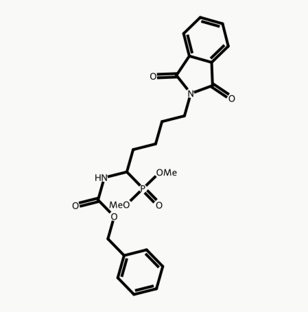 COP(=O)(OC)C(CCCCN1C(=O)c2ccccc2C1=O)NC(=O)OCc1ccccc1